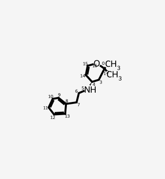 CC1(C)C[C@H](NCCc2ccccc2)C=CO1